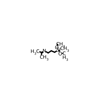 CO[Si](C)(CCCN=C(C)C)OC